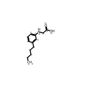 CCCCCc1cccc(NCC(=O)O)c1